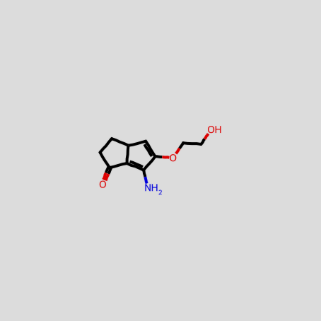 NC1=C2C(=O)CCC2C=C1OCCO